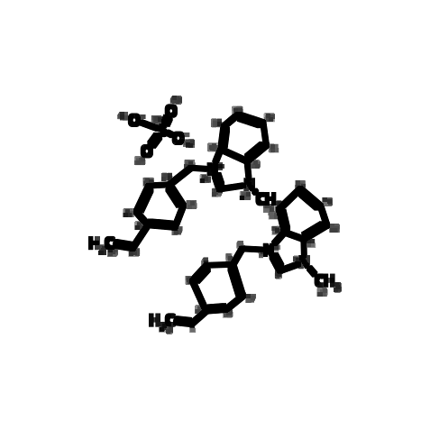 C=Cc1ccc(C[n+]2cn(C)c3ccccc32)cc1.C=Cc1ccc(C[n+]2cn(C)c3ccccc32)cc1.O=S(=O)([O-])[O-]